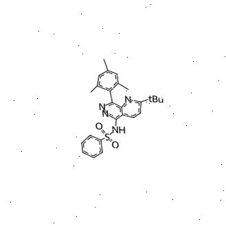 Cc1cc(C)c(-c2nnc(NS(=O)(=O)c3ccccc3)c3ccc(C(C)(C)C)nc23)c(C)c1